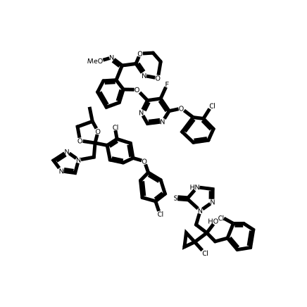 CC1COC(Cn2cncn2)(c2ccc(Oc3ccc(Cl)cc3)cc2Cl)O1.CO/N=C(/C1=NOCCO1)c1ccccc1Oc1ncnc(Oc2ccccc2Cl)c1F.OC(Cc1ccccc1Cl)(Cn1nc[nH]c1=S)C1(Cl)CC1